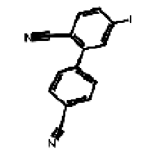 N#Cc1ccc(-c2cc(I)ccc2C#N)cc1